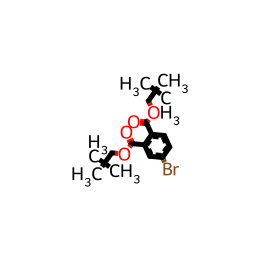 CC(C)(C)COC(=O)c1ccc(Br)cc1C(=O)OCC(C)(C)C